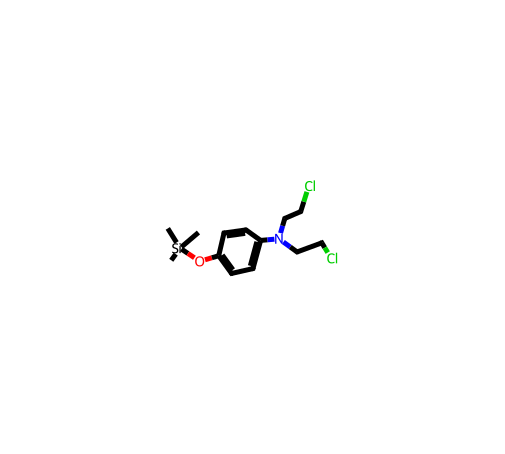 C[Si](C)(C)Oc1ccc(N(CCCl)CCCl)cc1